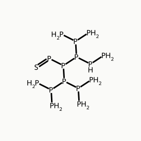 PPP(P(P)P)P(P=S)P(P(P)P)P(P)P